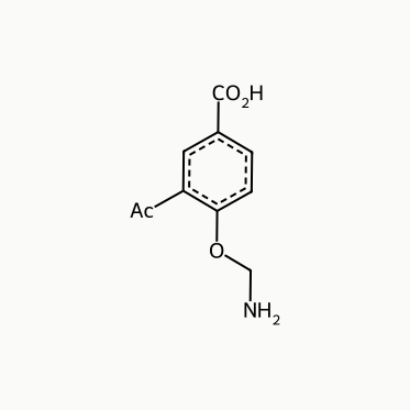 CC(=O)c1cc(C(=O)O)ccc1OCN